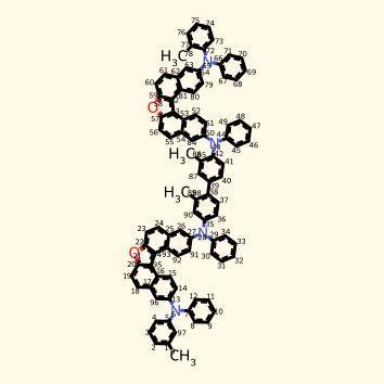 Cc1cccc(N(c2ccccc2)c2ccc3c(ccc4oc5ccc6cc(N(c7ccccc7)c7ccc(-c8ccc(N(c9ccccc9)c9ccc%10c(ccc%11oc%12ccc%13cc(N(c%14ccccc%14)c%14ccccc%14C)ccc%13c%12c%11%10)c9)c(C)c8)c(C)c7)ccc6c5c43)c2)c1